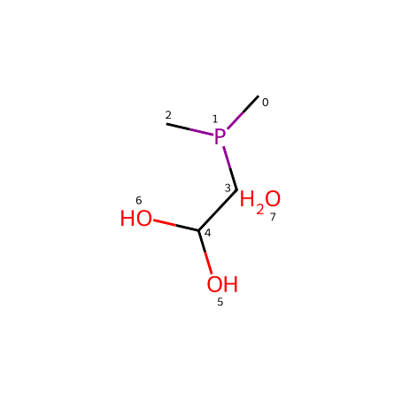 CP(C)CC(O)O.O